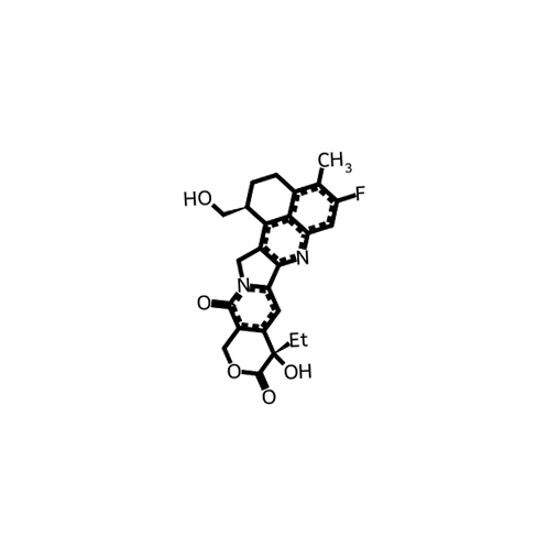 CC[C@@]1(O)C(=O)OCc2c1cc1n(c2=O)Cc2c-1nc1cc(F)c(C)c3c1c2[C@@H](CO)CC3